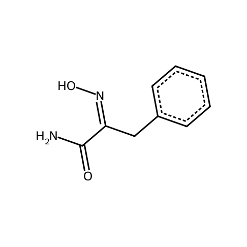 NC(=O)C(Cc1ccccc1)=NO